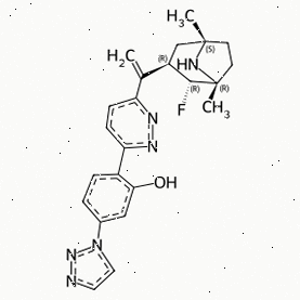 C=C(c1ccc(-c2ccc(-n3ccnn3)cc2O)nn1)[C@H]1C[C@]2(C)CC[C@@](C)(N2)[C@@H]1F